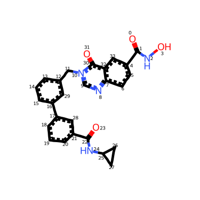 O=C(NO)c1ccc2ncn(Cc3cccc(-c4cccc(C(=O)NC5CC5)c4)c3)c(=O)c2c1